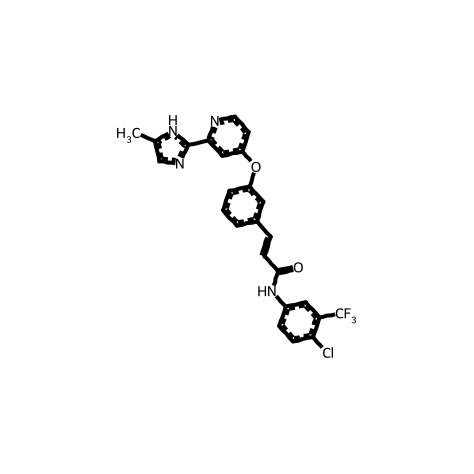 Cc1cnc(-c2cc(Oc3cccc(C=CC(=O)Nc4ccc(Cl)c(C(F)(F)F)c4)c3)ccn2)[nH]1